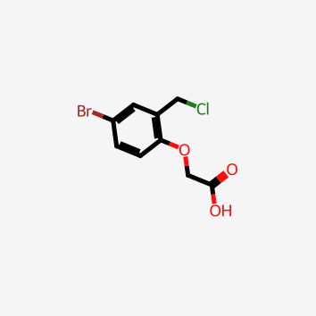 O=C(O)COc1ccc(Br)cc1CCl